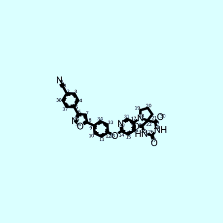 N#Cc1ccc(-c2cc(-c3ccc(Oc4ccc(N5CCCC56C(=O)NC(=O)NC6=O)cn4)cc3)on2)cc1